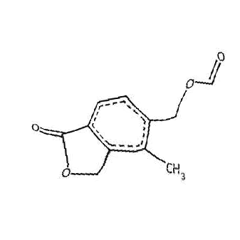 Cc1c(COC=O)ccc2c1COC2=O